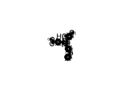 COC(=O)c1ccc(-c2nc(-c3ccc(Oc4ccccc4)cc3)nc(-c3ccc(OC)cc3O)n2)cc1